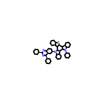 c1ccc(-c2nc(-c3ccccc3)c3cc(-n4c5ccccc5c5c6c(c7ccccc7n6-c6ccccc6)c6sc7ccccc7c6c54)ccc3n2)cc1